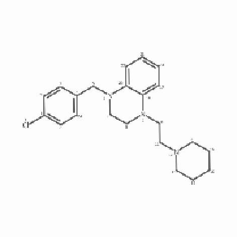 Clc1ccc(CN2CCN(CCN3CCCCC3)c3ccccc32)cc1